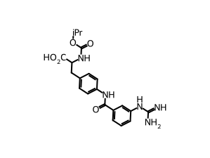 CC(C)OC(=O)NC(Cc1ccc(NC(=O)c2cccc(NC(=N)N)c2)cc1)C(=O)O